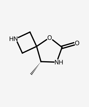 C[C@H]1NC(=O)OC12CNC2